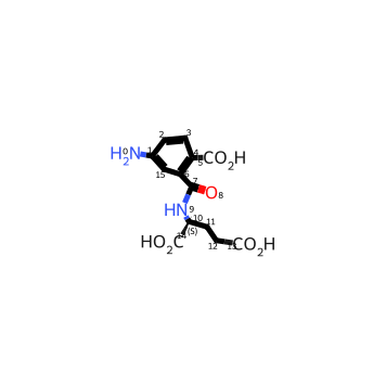 Nc1ccc(C(=O)O)c(C(=O)N[C@@H](CCC(=O)O)C(=O)O)c1